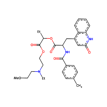 CCC(OC(=O)C(Cc1cc(=O)[nH]c2ccccc12)NC(=O)c1ccc(C)cc1)C(=O)OCCN(CC)CCOC